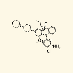 CCCS(=O)(=O)c1ccccc1N(c1ncc(Cl)c(N)n1)c1ccc(N2CCC(N3CCCCC3)CC2)cc1OC